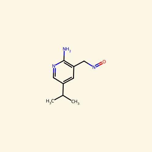 CC(C)c1cnc(N)c(CN=O)c1